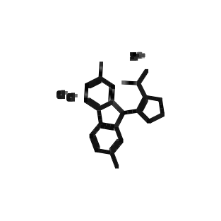 Cc1ccc2c(c1)C(C1=C(C(C)C)CCC1)c1cc(C)ccc1-2.[Cl-].[Cl-].[Zr+2]